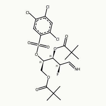 CC(C)(C)C(=O)OC[C@@H](OS(=O)(=O)c1cc(Cl)c(Cl)cc1Cl)[C@@H](OC(=O)C(C)(C)C)[C@H](F)C=N